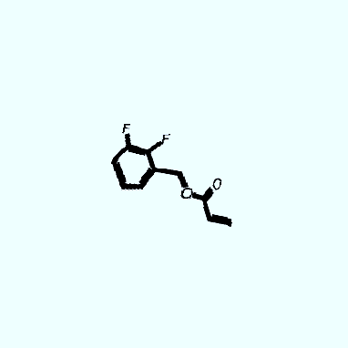 C=CC(=O)OCc1cccc(F)c1F